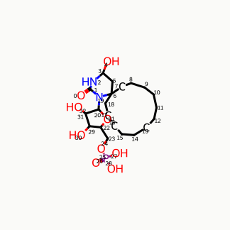 O=C1NC(O)CC2(CCCCCCCCCCCC2)N1C1OC(COP(=O)(O)O)C(O)C1O